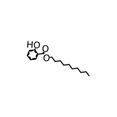 CCCCCCCCCCOC(=O)c1ccccc1O